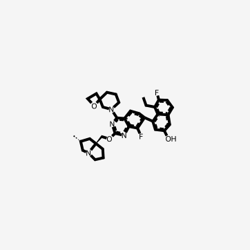 CCc1c(F)ccc2cc(O)cc(-c3ccc4c(N5CCCC6(CCO6)C5)nc(OC[C@@]56CCCN5C[C@H](C)C6)nc4c3F)c12